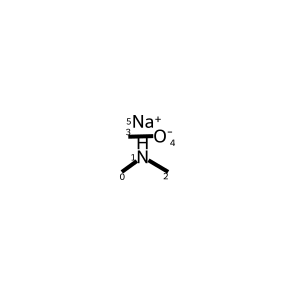 CNC.C[O-].[Na+]